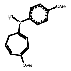 COC1=CC=C(N(N)c2ccc(OC)cc2)CC=C1